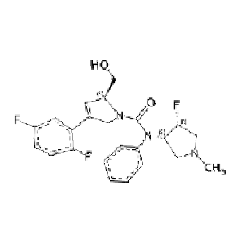 CN1C[C@@H](F)[C@@H](N(C(=O)N2CC(c3cc(F)ccc3F)=C[C@H]2CO)c2ccccc2)C1